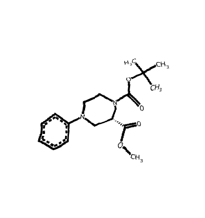 COC(=O)[C@@H]1CN(c2ccccc2)CCN1C(=O)OC(C)(C)C